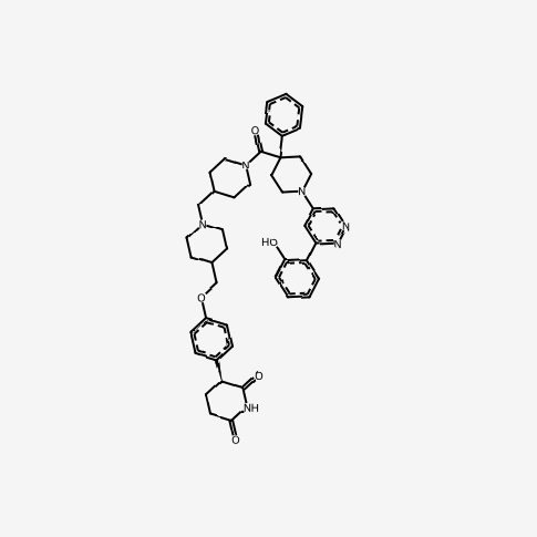 O=C1CC[C@@H](c2ccc(OCC3CCN(CC4CCN(C(=O)C5(c6ccccc6)CCN(c6cnnc(-c7ccccc7O)c6)CC5)CC4)CC3)cc2)C(=O)N1